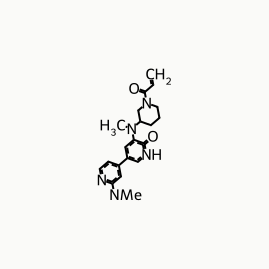 C=CC(=O)N1CCCC(N(C)c2cc(-c3ccnc(NC)c3)c[nH]c2=O)C1